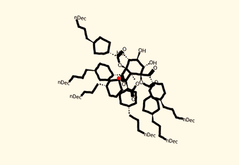 CCCCCCCCCCCCC[C@H]1CC[C@H](C(=O)O[C@@]2(C(=O)[C@H]3CC[C@H](CCCCCCCCCCCCC)CC3)[C@@](OC(=O)[C@H]3CC[C@H](CCCCCCCCCCCCC)CC3)(C(=O)[C@H]3CC[C@H](CCCCCCCCCCCCC)CC3)[C@@H](O)[C@H](O)[C@@H](O)[C@@]2(OC(=O)[C@H]2CC[C@H](CCCCCCCCCCCCC)CC2)C(=O)[C@H]2CC[C@H](CCCCCCCCCCCCC)CC2)CC1